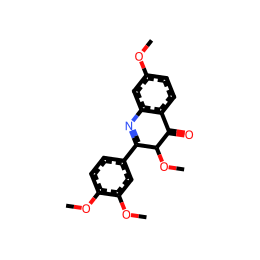 COc1ccc2c(c1)N=C(c1ccc(OC)c(OC)c1)C(OC)C2=O